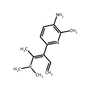 C=C/C(=C(/C)N(C)C)c1ccc(N)c(C)n1